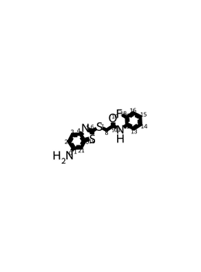 Nc1ccc2nc(SCC(=O)Nc3ccccc3F)sc2c1